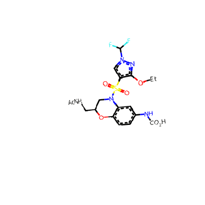 CCOc1nn(C(F)F)cc1S(=O)(=O)N1CC(CNC(C)=O)Oc2ccc(NC(=O)O)cc21